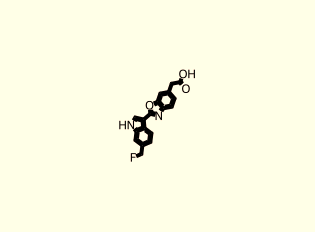 O=C(O)Cc1ccc2nc(-c3c[nH]c4cc(CF)ccc34)oc2c1